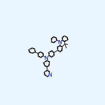 CC1(C)c2ccccc2N(c2ccccc2)c2cc(-c3ccc(N(c4ccc(-c5ccccc5)cc4)c4ccc(-c5cccnc5)cc4)cc3)ccc21